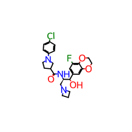 O=C(N[C@H](CN1CCC1)[C@H](O)c1cc(F)c2c(c1)OCCO2)C1CCN(c2ccc(Cl)cc2)C1